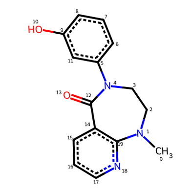 CN1CCN(c2cccc(O)c2)C(=O)c2cccnc21